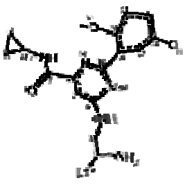 CC[C@H](N)CNc1cc(C(=O)NC2CC2)nc(-c2cc(Cl)ccc2O)n1